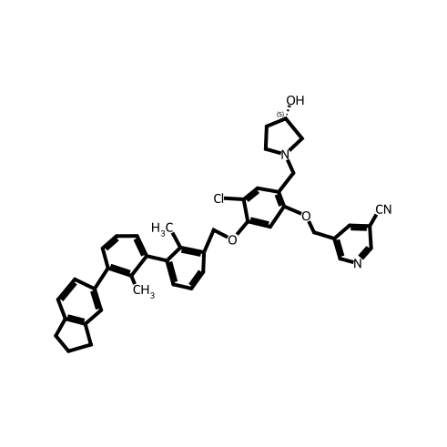 Cc1c(COc2cc(OCc3cncc(C#N)c3)c(CN3CC[C@H](O)C3)cc2Cl)cccc1-c1cccc(-c2ccc3c(c2)CCC3)c1C